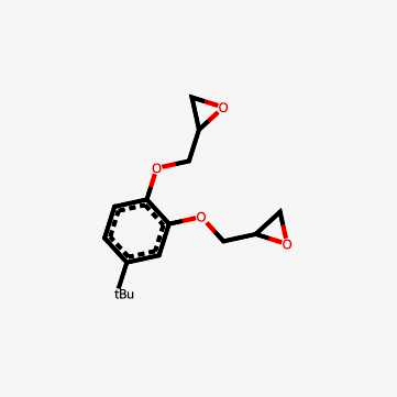 CC(C)(C)c1ccc(OCC2CO2)c(OCC2CO2)c1